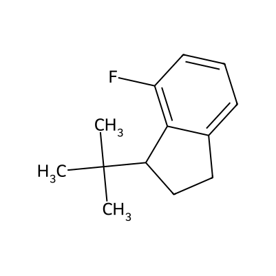 CC(C)(C)C1CCc2cccc(F)c21